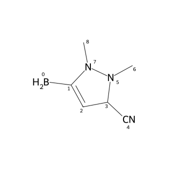 BC1=CC(C#N)N(C)N1C